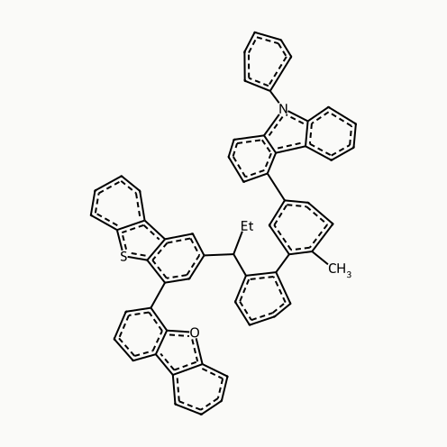 CCC(c1cc(-c2cccc3c2oc2ccccc23)c2sc3ccccc3c2c1)c1ccccc1-c1cc(-c2cccc3c2c2ccccc2n3-c2ccccc2)ccc1C